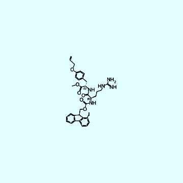 C=CCOc1ccc(C[C@H](NC(=O)[C@@H](CCCNC(=N)N)NC(=O)OCC2c3ccccc3-c3cccc(I)c32)C(=O)OC)cc1